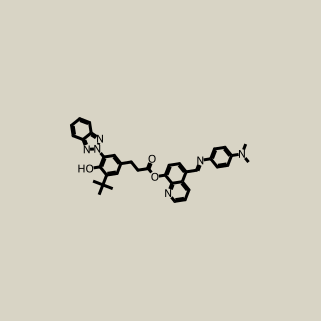 CN(C)c1ccc(/N=C/c2ccc(OC(=O)CCc3cc(-n4nc5ccccc5n4)c(O)c(C(C)(C)C)c3)c3ncccc23)cc1